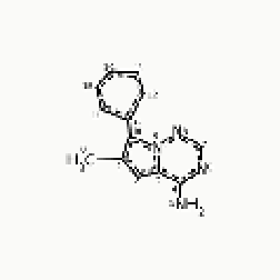 Cc1cc2c(N)ncnn2c1-c1ccccc1